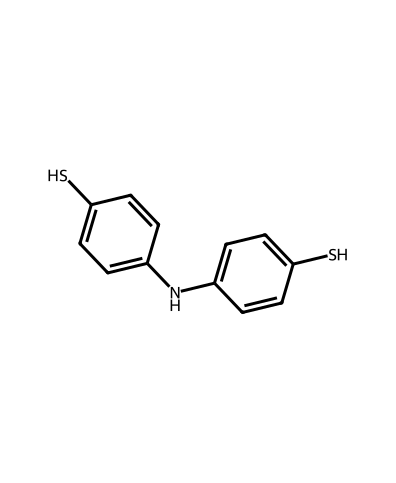 Sc1ccc(Nc2ccc(S)cc2)cc1